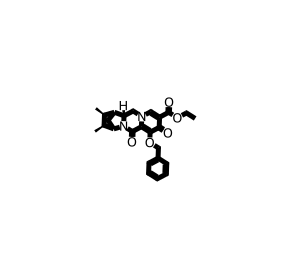 CCOC(=O)c1cn2c(c(OCc3ccccc3)c1=O)C(=O)N1C3CC([C@H](C)[C@@H]3C)[C@@H]1C2